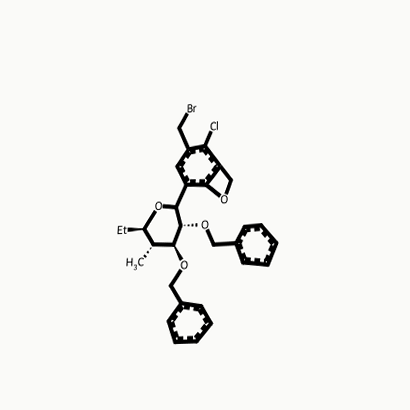 CC[C@H]1OC(c2cc(CBr)c(Cl)c3c2OC3)[C@H](OCc2ccccc2)[C@@H](OCc2ccccc2)[C@@H]1C